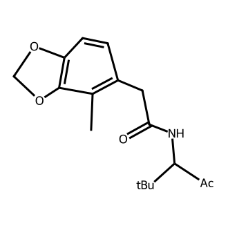 CC(=O)C(NC(=O)Cc1ccc2c(c1C)OCO2)C(C)(C)C